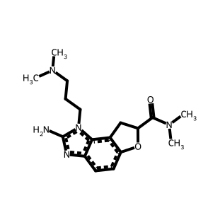 CN(C)CCCn1c(N)nc2ccc3c(c21)CC(C(=O)N(C)C)O3